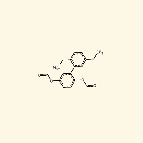 CCc1ccc(CC)c(-c2cc(OC=O)ccc2OC=O)c1